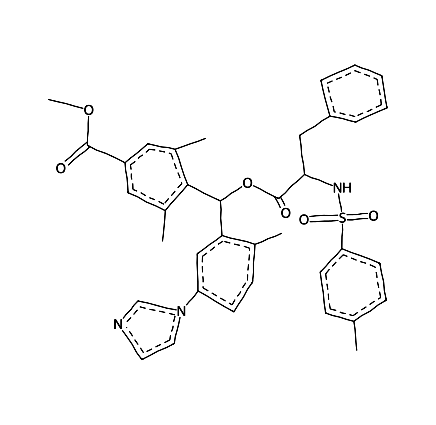 COC(=O)c1cc(C)c(C(OC(=O)C(Cc2ccccc2)NS(=O)(=O)c2ccc(C)cc2)c2cc(-n3ccnc3)ccc2C)c(C)c1